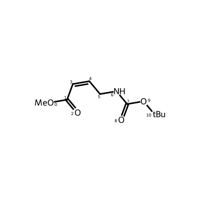 COC(=O)/C=C\CNC(=O)OC(C)(C)C